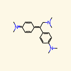 CN(C)CC(=C1C=CC(=[N+](C)C)C=C1)c1ccc(N(C)C)cc1